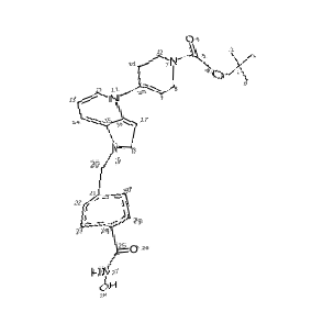 CC(C)(C)OC(=O)N1CC=C(N2C=CC=C3C2=CCN3Cc2ccc(C(=O)NO)cc2)CC1